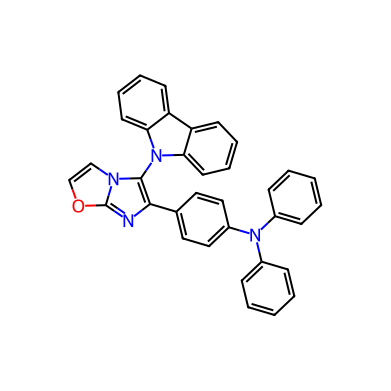 c1ccc(N(c2ccccc2)c2ccc(-c3nc4occn4c3-n3c4ccccc4c4ccccc43)cc2)cc1